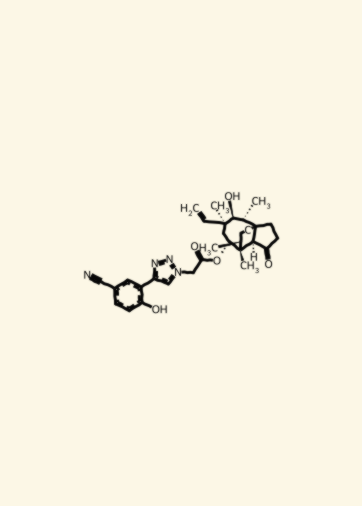 C=C[C@]1(C)C[C@@H](OC(=O)Cn2cc(-c3cc(C#N)ccc3O)nn2)[C@]2(C)[C@H](C)CC[C@]3(CCC(=O)[C@H]32)[C@@H](C)[C@@H]1O